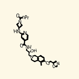 CCCC(=O)N1CC(Nc2cc(C(=O)NC[C@H](O)CN3CCc4c(ccc(OCc5cnco5)c4C)C3)ccn2)C1